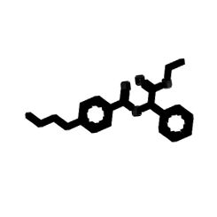 CCCCc1ccc(C(=O)OC(C(=O)OCC)c2ccccc2)cc1